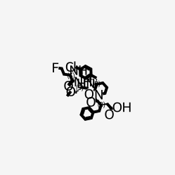 COC[C@H](NC(=O)[C@@H](N)CCF)C(=O)N[C@@]1(Cc2ccc(Cl)cc2)CCCN(C(=O)[C@@H](CC(=O)O)Cc2ccccc2)C1